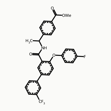 COC(=O)c1ccc(C(C)NC(=O)c2cc(-c3cccc(C(F)(F)F)c3)ccc2Oc2ccc(F)cc2)cc1